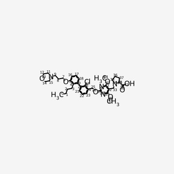 CCCCc1c(OCCCN2CCOCC2)cccc1-c1cccc(COc2nc(OC)c(CN3CCC[C@H]3C(=O)O)c(OC)n2)c1Cl